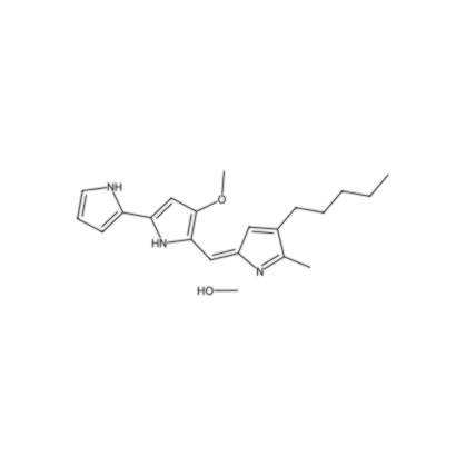 CCCCCC1=CC(=Cc2[nH]c(-c3ccc[nH]3)cc2OC)N=C1C.CO